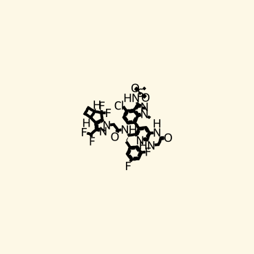 Cn1nc(NS(C)(=O)=O)c2c(Cl)ccc(-c3cc4c(nc3[C@H](Cc3cc(F)cc(F)c3)NC(=O)Cn3nc(C(F)F)c5c3C(F)(F)[C@@H]3CC[C@H]53)NCC(=O)N4)c21